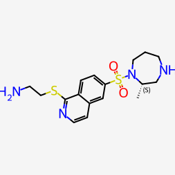 C[C@H]1CNCCCN1S(=O)(=O)c1ccc2c(SCCN)nccc2c1